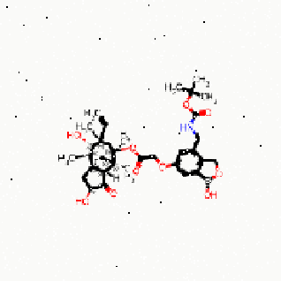 C=C[C@]1(C)C[C@@H](OC(=O)COc2cc(CNC(=O)OC(C)(C)C)c3c(c2)B(O)OC3)[C@]2(C)[C@H](C)CC[C@]3(C[C@H](O)C(=O)[C@H]32)[C@@H](C)[C@@H]1O